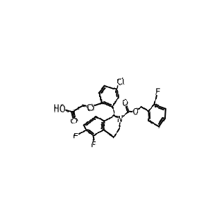 O=C(O)COc1ccc(Cl)cc1[C@@H]1c2ccc(F)c(F)c2CCN1C(=O)OCc1ccccc1F